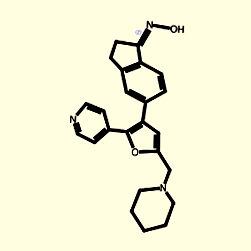 O/N=C1/CCc2cc(-c3cc(CN4CCCCC4)oc3-c3ccncc3)ccc21